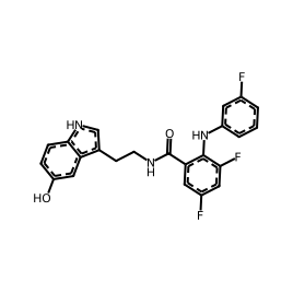 O=C(NCCc1c[nH]c2ccc(O)cc12)c1cc(F)cc(F)c1Nc1cccc(F)c1